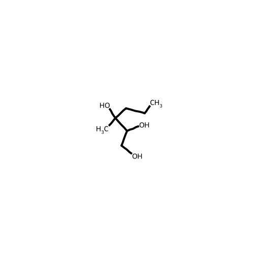 CCCC(C)(O)C(O)CO